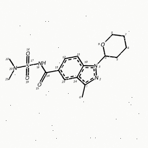 Cc1nn(C2CCCCO2)c2ccc(C(=O)NS(=O)(=O)N(C)C)cc12